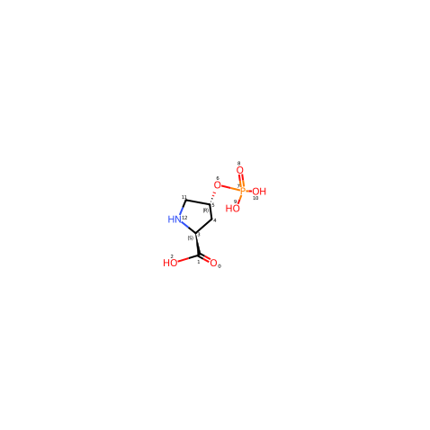 O=C(O)[C@@H]1C[C@@H](OP(=O)(O)O)CN1